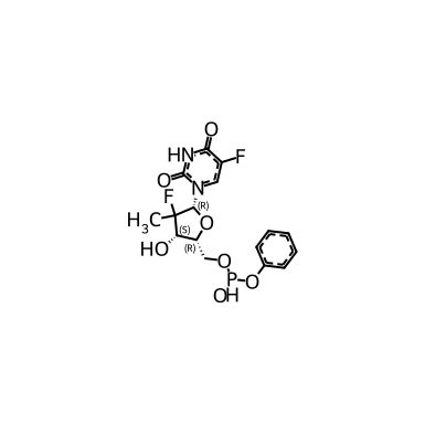 CC1(F)[C@@H](O)[C@@H](CO[PH](=O)Oc2ccccc2)O[C@H]1n1cc(F)c(=O)[nH]c1=O